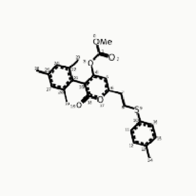 COC(=O)Oc1cc(CCSc2ccc(C)cc2)oc(=O)c1-c1c(C)cc(C)cc1C